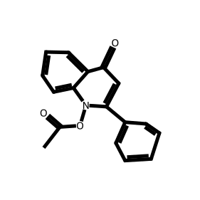 CC(=O)On1c(-c2ccccc2)cc(=O)c2ccccc21